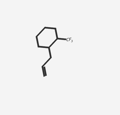 C=CCC1CCCC[C]1C(F)(F)F